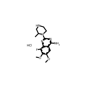 COc1cc2c(N)nc(N3CCNCC3C)nc2c(F)c1OC.Cl